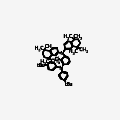 CC(C)(C)c1ccc(N(c2ccc(C(C)(C)C)cc2)c2cccc(N(c3ccc4c(c3)C(C)(C)CCC4(C)C)c3ccc4c(c3)C(C)(C)CCC4(C)C)c2Cl)cc1